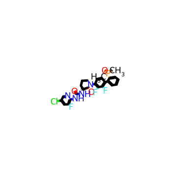 CP(C)(=O)c1ccccc1-c1ccc(N2CCC[C@@H](NC(=O)Nc3ncc(Cl)cc3F)C2=O)c(F)c1F